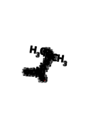 Cc1ccc2ccc3c(C)cc(-c4ccc(-c5ccc(-c6nc(C7=CC=C(c8ccccc8)CC7)nc(-c7ccccc7)n6)cc5)cc4)nc3c2n1